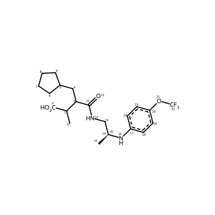 CC(C(=O)O)C(CC1CCCC1)C(=O)NC[C@H](C)Nc1ccc(OC(F)(F)F)cc1